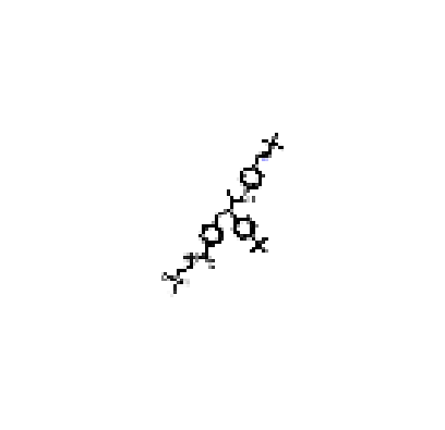 CC(C)(C)/C=C/c1ccc(NC(=O)C(Cc2ccc(C(=O)NCCS(=O)(=O)O)cc2)c2ccc(C(C)(C)C)cc2)cc1